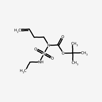 C=CCCN(C(=O)OC(C)(C)C)S(=O)(=O)NCC